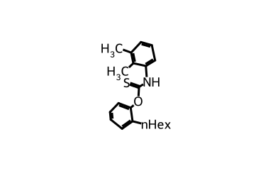 CCCCCCc1ccccc1OC(=S)Nc1cccc(C)c1C